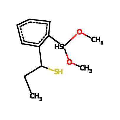 CCC(S)c1ccccc1[SiH](OC)OC